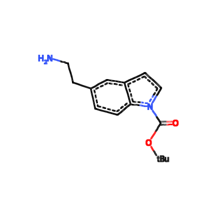 CC(C)(C)OC(=O)n1ccc2cc(CCN)ccc21